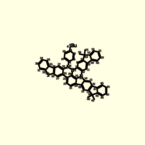 CC(C)(C)c1ccc(N2B3c4cc5c(cc4-n4c6cc7c(cc6c6ccc(c3c64)-c3cc4sc6ccccc6c4cc32)C(C)(C)c2ccccc2-7)-c2ccccc2C5(C)C)cc1